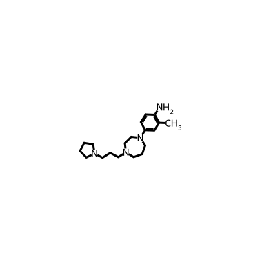 Cc1cc(N2CCCN(CCCN3CCCC3)CC2)ccc1N